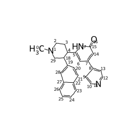 CN1CCC(c2cc(-c3ccncc3)cc(=O)[nH]2)C(c2ccc3ccccc3c2)C1